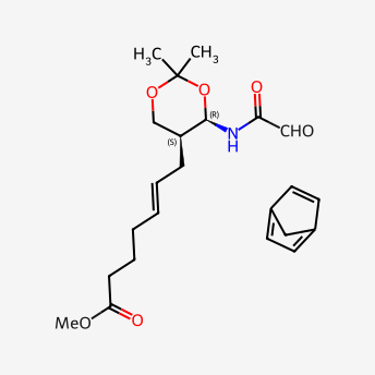 C1=CC2=CC=C1C2.COC(=O)CCCC=CC[C@H]1COC(C)(C)O[C@H]1NC(=O)C=O